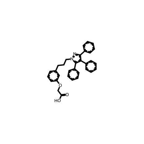 O=C(O)COc1cccc(CCCn2nc(-c3ccccc3)c(-c3ccccc3)c2-c2ccccc2)c1